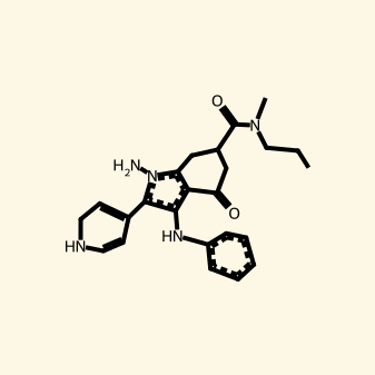 CCCN(C)C(=O)C1CC(=O)c2c(Nc3ccccc3)c(C3=CCNC=C3)n(N)c2C1